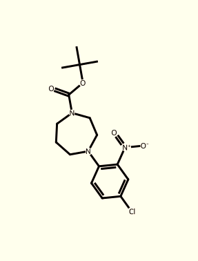 CC(C)(C)OC(=O)N1CCCN(c2ccc(Cl)cc2[N+](=O)[O-])CC1